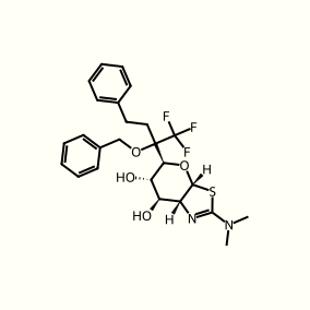 CN(C)C1=N[C@@H]2[C@@H](O)[C@H](O)[C@@H](C(CCc3ccccc3)(OCc3ccccc3)C(F)(F)F)O[C@@H]2S1